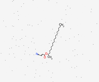 CCCCCCCCCCCCCCCCC(C)OC(=O)C=CC#N